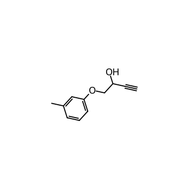 C#CC(O)COc1cccc(C)c1